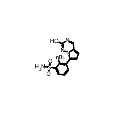 CCCCc1c(-c2ccc3cnc(O)nn23)cccc1S(N)(=O)=O